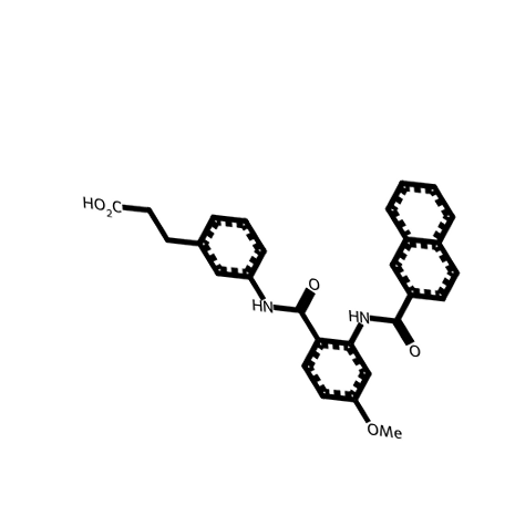 COc1ccc(C(=O)Nc2cccc(CCC(=O)O)c2)c(NC(=O)c2ccc3ccccc3c2)c1